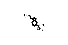 CCCc1ccc2cc(C(C)C)cccc1-2